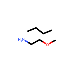 CCCC.COCCN